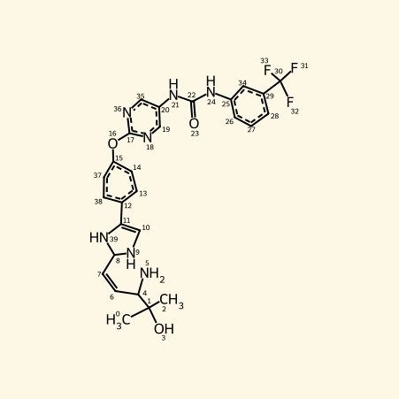 CC(C)(O)C(N)/C=C\C1NC=C(c2ccc(Oc3ncc(NC(=O)Nc4cccc(C(F)(F)F)c4)cn3)cc2)N1